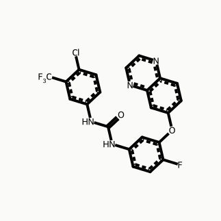 O=C(Nc1ccc(F)c(Oc2ccc3nccnc3c2)c1)Nc1ccc(Cl)c(C(F)(F)F)c1